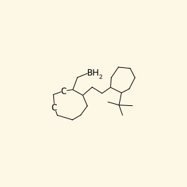 BCC1CCCCCCCC1CCC1CCCCCC1C(C)(C)C